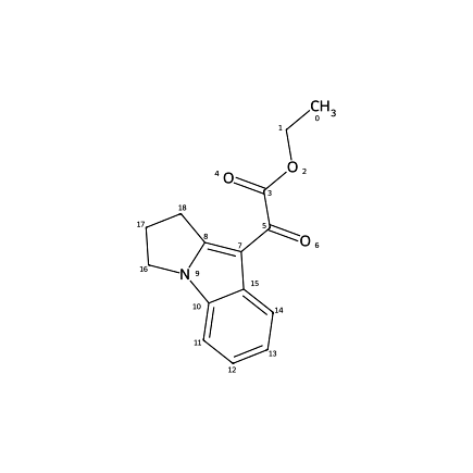 CCOC(=O)C(=O)c1c2n(c3ccccc13)CCC2